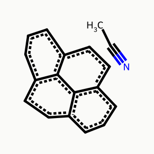 CC#N.c1cc2ccc3cccc4ccc(c1)c2c34